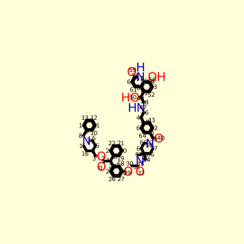 O=C(OCC1CCN(Cc2ccccc2)CC1)C(c1ccccc1)c1cccc(OCC(=O)N2CC3(CCN(C(=O)c4ccc(CCNC[C@H](O)c5ccc(O)c6[nH]c(=O)ccc56)cc4)CC3)C2)c1